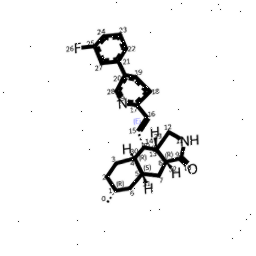 C[C@@H]1CC[C@@H]2[C@@H](C1)C[C@H]1C(=O)NC[C@H]1[C@H]2/C=C/c1ccc(-c2cccc(F)c2)cn1